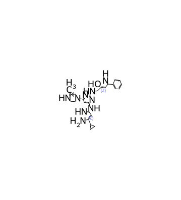 C[C@@H]1CN(c2cc(NC(=N)/C=C(\N)C3CC3)nc(NC/C(O)=C/C(=N)c3ccccc3)n2)CCN1